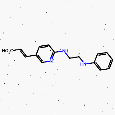 O=C(O)C=Cc1ccc(NCCNc2ccccc2)nc1